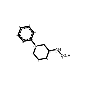 O=C(O)N[C@H]1CCCN(c2ccccc2)C1